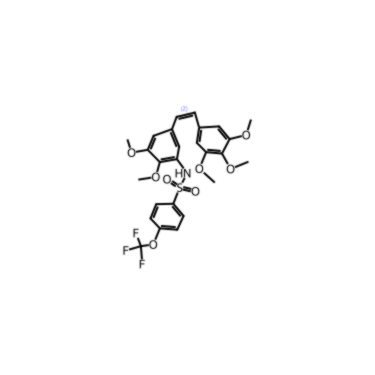 COc1cc(/C=C\c2cc(OC)c(OC)c(OC)c2)cc(NS(=O)(=O)c2ccc(OC(F)(F)F)cc2)c1OC